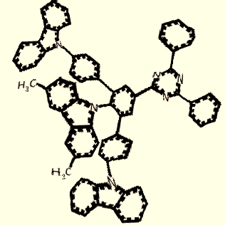 Cc1ccc2c(c1)c1cc(C)ccc1n2-c1c(-c2ccc(-n3c4ccccc4c4ccccc43)cc2)cc(-c2nc(-c3ccccc3)nc(-c3ccccc3)n2)cc1-c1ccc(-n2c3ccccc3c3ccccc32)cc1